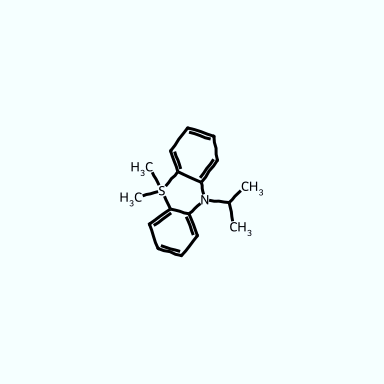 CC(C)N1c2ccccc2S(C)(C)c2ccccc21